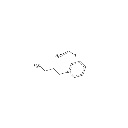 C=CI.CCCC[n+]1ccccc1